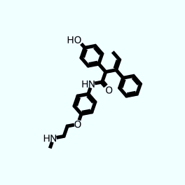 CC=C(c1ccccc1)C(C(=O)Nc1ccc(OCCNC)cc1)c1ccc(O)cc1